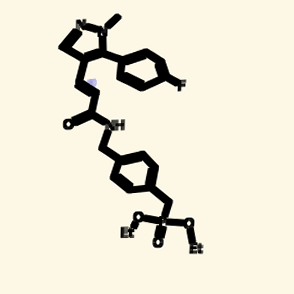 CCOP(=O)(Cc1ccc(CNC(=O)/C=C/c2cnn(C)c2-c2ccc(F)cc2)cc1)OCC